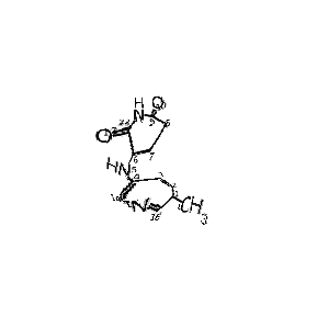 CC1C=CC(NC2CCC(=O)NC2=O)=CN=C1